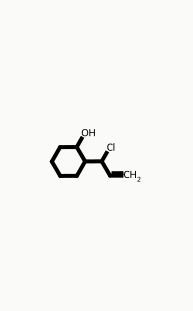 C=CC(Cl)C1CCCCC1O